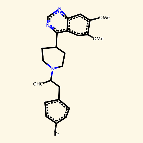 COc1cc2ncnc(C3CCN(C(C=O)Cc4ccc(C(C)C)cc4)CC3)c2cc1OC